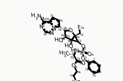 C[C@H](N[P@@](=O)(Oc1ccccc1)OC1[C@@]2(CF)O[C@@H](c3ccc4c(N)ncnn34)[C@H](O)[C@@]12O)C(=O)OCCC(C)(C)C